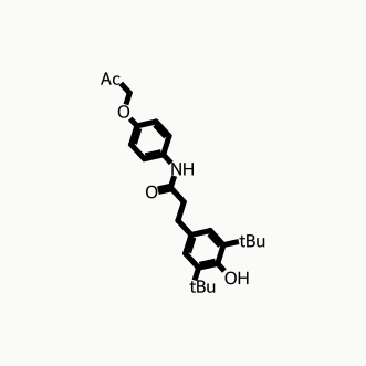 CC(=O)COc1ccc(NC(=O)CCc2cc(C(C)(C)C)c(O)c(C(C)(C)C)c2)cc1